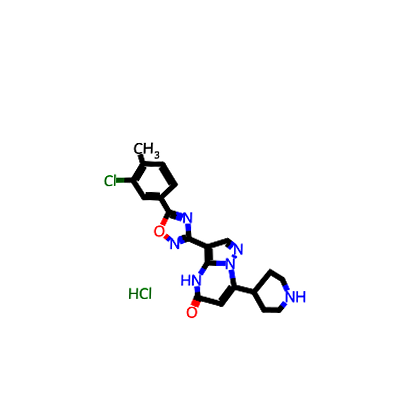 Cc1ccc(-c2nc(-c3cnn4c(C5CCNCC5)cc(=O)[nH]c34)no2)cc1Cl.Cl